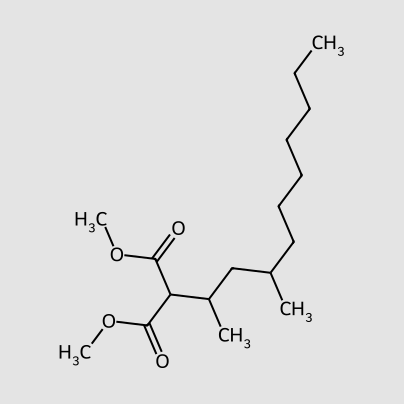 CCCCCCCC(C)CC(C)C(C(=O)OC)C(=O)OC